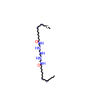 CCCCC/C=C\C/C=C\CCCCCCCC(=O)NCCNCCNCCNCCNC(=O)CCCCCCC/C=C\C/C=C\CCCCC